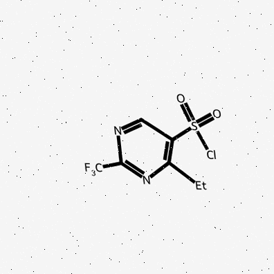 CCc1nc(C(F)(F)F)ncc1S(=O)(=O)Cl